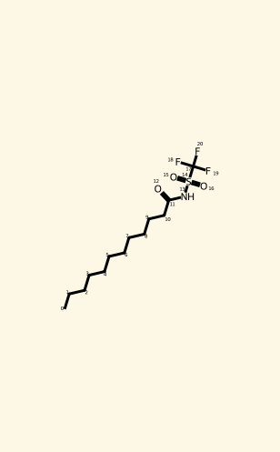 CCCCCCCCCCCC(=O)NS(=O)(=O)C(F)(F)F